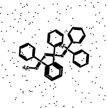 CN=P(N=P(N=P(C)(c1ccccc1)c1ccccc1)(c1ccccc1)c1ccccc1)(c1ccccc1)c1ccccc1